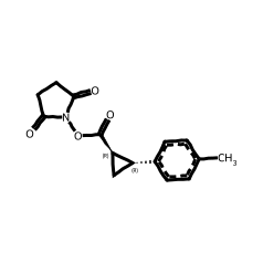 Cc1ccc([C@@H]2C[C@H]2C(=O)ON2C(=O)CCC2=O)cc1